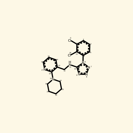 Clc1cccc(-n2nnnc2NCc2cccnc2N2CCCCC2)c1Cl